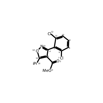 COC(=O)c1c(-c2c(Cl)cccc2Cl)noc1C(C)C